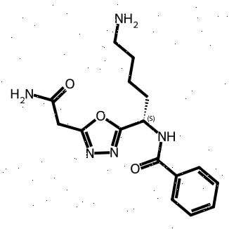 NCCCC[C@H](NC(=O)c1ccccc1)c1nnc(CC(N)=O)o1